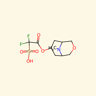 CN1C2COCC1CC(OC(=O)C(F)(F)S(=O)(=O)O)C2